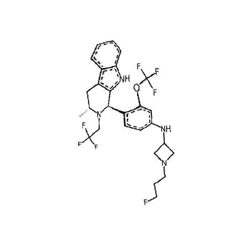 C[C@@H]1Cc2c([nH]c3ccccc23)[C@@H](c2ccc(NC3CN(CCCF)C3)cc2OC(F)(F)F)N1CC(F)(F)F